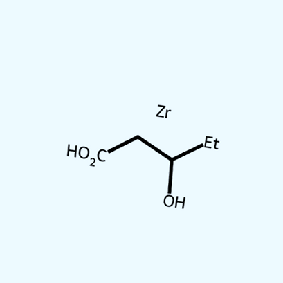 [CH2]CC(O)CC(=O)O.[Zr]